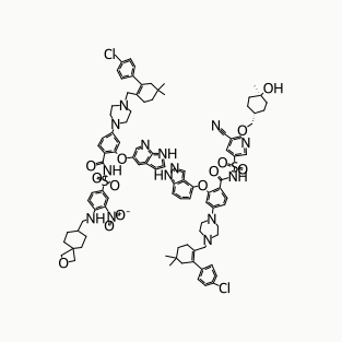 CC1(C)CCC(CN2CCN(c3ccc(C(=O)NS(=O)(=O)c4ccc(NCC5CCC6(CC5)COC6)c([N+](=O)[O-])c4)c(Oc4cnc5[nH]ccc5c4)c3)CC2)=C(c2ccc(Cl)cc2)C1.CC1(C)CCC(CN2CCN(c3ccc(C(=O)NS(=O)(=O)c4cnc(OC[C@H]5CC[C@](C)(O)CC5)c(C#N)c4)c(Oc4cccc5[nH]ncc45)c3)CC2)=C(c2ccc(Cl)cc2)C1